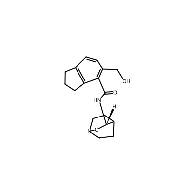 O=C(N[C@H]1CN2CCC1CC2)c1c(CO)ccc2c1CCC2